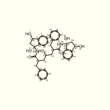 O=C(N[C@@]1(O)C[C@@H](O)c2ccccc21)C(Cc1ccccc1)CC(O)CC(Cc1ccccc1)C(=O)N[C@@]1(O)C[C@@H](O)c2ccccc21